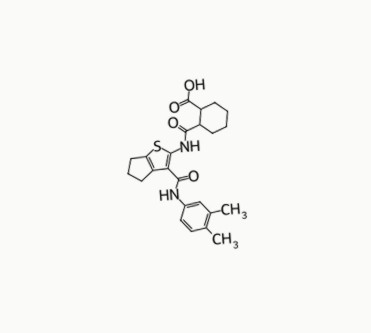 Cc1ccc(NC(=O)c2c(NC(=O)C3CCCCC3C(=O)O)sc3c2CCC3)cc1C